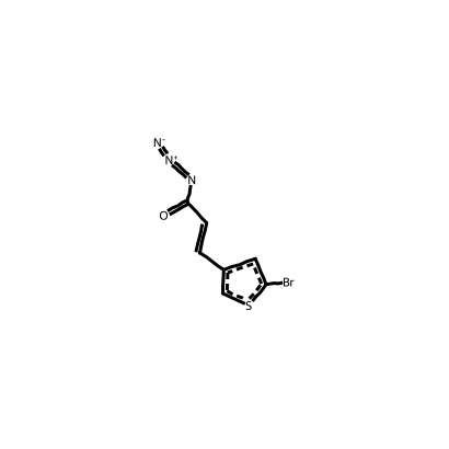 [N-]=[N+]=NC(=O)/C=C/c1csc(Br)c1